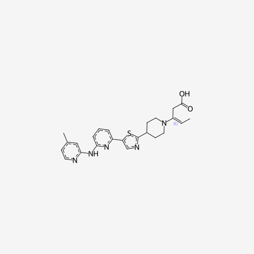 C/C=C(\CC(=O)O)N1CCC(c2ncc(-c3cccc(Nc4cc(C)ccn4)n3)s2)CC1